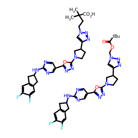 CC(C)(C)C(=O)OCn1cc(C2CCN(c3nnc(-c4cnc(NC5Cc6cc(F)c(F)cc6C5)nc4)o3)C2)nn1.CC(C)(CCn1cc(C2CCN(c3nnc(-c4cnc(NC5Cc6cc(F)c(F)cc6C5)nc4)o3)C2)nn1)C(=O)O